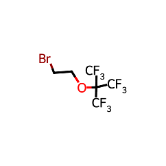 FC(F)(F)C(OCCBr)(C(F)(F)F)C(F)(F)F